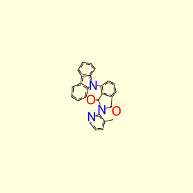 Cc1cccnc1N1C(=O)c2cccc(-n3c4ccccc4c4ccccc43)c2C1=O